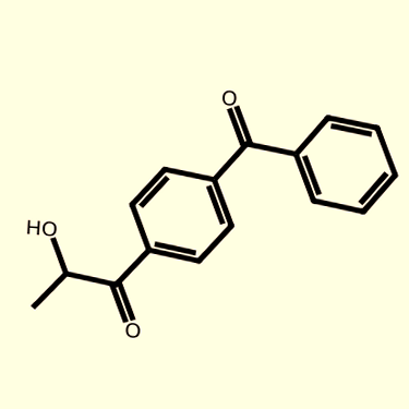 CC(O)C(=O)c1ccc(C(=O)c2ccccc2)cc1